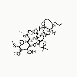 CCC[C@@H]1CCO[C@@H]2[C@@H](C1)CN(C(=O)OC(C)(C)C)[C@@H]2C(=O)N[C@@H]([C@H]1OC(SC)[C@H](O)C(O)[C@@H]1O)[C@H](C)Cl